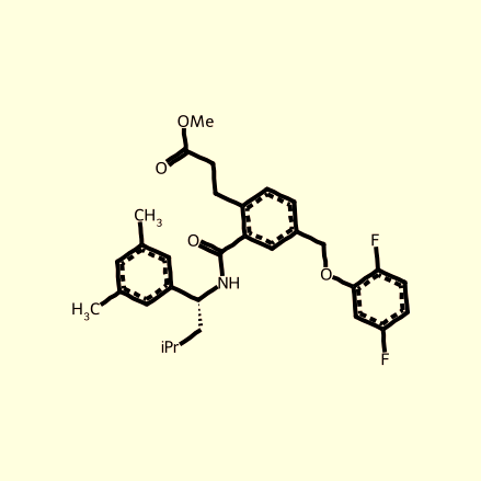 COC(=O)CCc1ccc(COc2cc(F)ccc2F)cc1C(=O)N[C@H](CC(C)C)c1cc(C)cc(C)c1